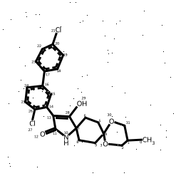 CC1COC2(CCC3(CC2)NC(=O)C(c2cc(-c4ccc(Cl)cc4)ccc2Cl)=C3O)OC1